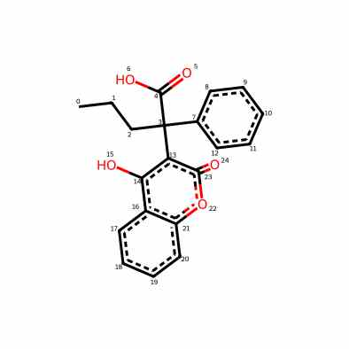 CCCC(C(=O)O)(c1ccccc1)c1c(O)c2ccccc2oc1=O